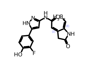 C=C(/C=C1/CC(=O)N/C1=C/C)Nc1cc(-c2ccc(O)c(F)c2)[nH]n1